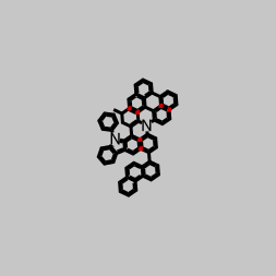 CC1C=CC(N(c2ccc(-c3cccc4c3ccc3ccccc34)cc2)c2ccccc2-c2cccc3cccc(-c4ccccc4)c23)=C(c2cccc3c4ccccc4n(-c4ccccc4)c23)C1